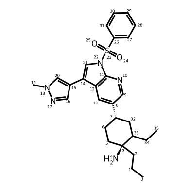 CCC[C@]1(N)CC[C@H](c2cnc3c(c2)c(-c2cnn(C)c2)cn3S(=O)(=O)c2ccccc2)CC1CC